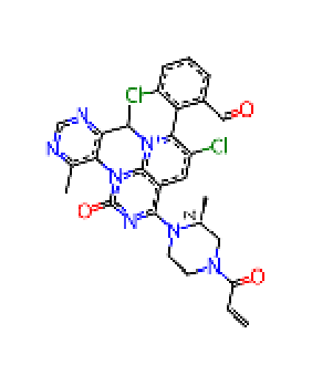 C=CC(=O)N1CCN(c2nc(=O)n3c4c2cc(Cl)c(-c2c(Cl)cccc2C=O)[n+]4C(C)c2ncnc(C)c2-3)[C@@H](C)C1